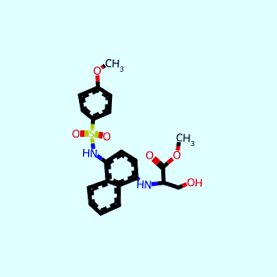 COC(=O)C(CO)Nc1ccc(NS(=O)(=O)c2ccc(OC)cc2)c2ccccc12